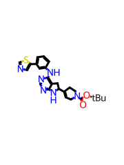 CC(C)(C)OC(=O)N1CC=C(C2Cc3c(Nc4cccc(-c5cncs5)c4)ncnc3N2)CC1